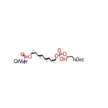 CCCCCCCCCCCCOP(=O)(O)O\C=C/C=C/C=C/C=C\O[PH](=O)OC